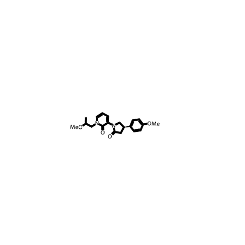 COc1ccc([C@H]2CC(=O)N(c3cccn(CC(C)OC)c3=O)C2)cc1